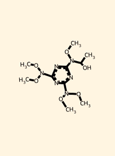 CON(OC)c1nc(N(OC)OC)nc(N(OC)C(C)O)n1